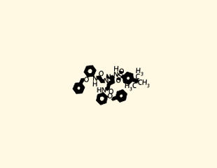 CC(C)(C)c1ccc(S(=O)(=O)Nc2cc(C(=O)N[C@H]3CCCC[C@@H]3OCc3ccccc3)n(CC(=O)N[C@H]3CCCC[C@@H]3OCc3ccccc3)n2)cc1